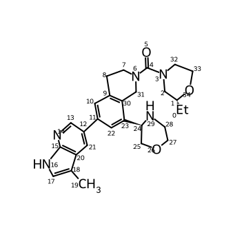 CC[C@@H]1CN(C(=O)N2CCc3cc(-c4cnc5[nH]cc(C)c5c4)cc([C@@H]4COCCN4)c3C2)CCO1